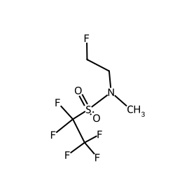 CN(CCF)S(=O)(=O)C(F)(F)C(F)(F)F